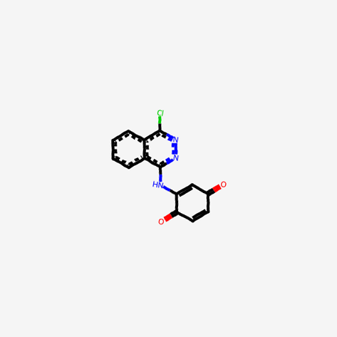 O=C1C=CC(=O)C(Nc2nnc(Cl)c3ccccc23)=C1